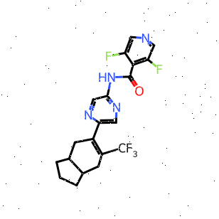 O=C(Nc1cnc(C2=C(C(F)(F)F)CC3CCCC3C2)cn1)c1c(F)cncc1F